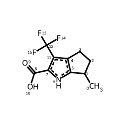 CC1CCc2c1[nH]c(C(=O)O)c2C(F)(F)F